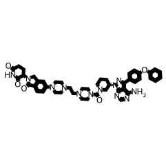 Nc1ncnc2c1c(-c1ccc(Oc3ccccc3)cc1)nn2[C@@H]1CCCN(C(=O)N2CCN(CCN3CCN(c4ccc5c(c4)CN(C4CCC(=O)NC4=O)C5=O)CC3)CC2)C1